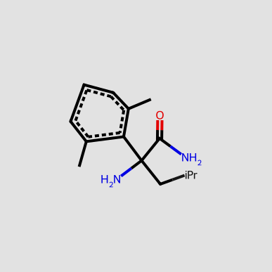 Cc1cccc(C)c1C(N)(CC(C)C)C(N)=O